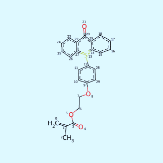 C=C(C)C(=O)OCCOc1ccc(-[s+]2c3ccccc3c(=O)c3ccccc32)cc1